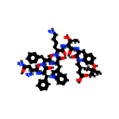 C[C@@H](O)[C@H](NC(=O)[C@H](CCCCN)NC(=O)[C@@H](Cc1c[nH]c2ccccc12)NC(=O)[C@H](Cc1ccccc1)NC(=O)[C@H](Cc1ccccc1)NC(=O)[C@@H](N)CC(N)=O)C(=O)N[C@@H](Cc1ccc(OC(C)(C)C)cc1)C(=O)NCCCC(=O)O